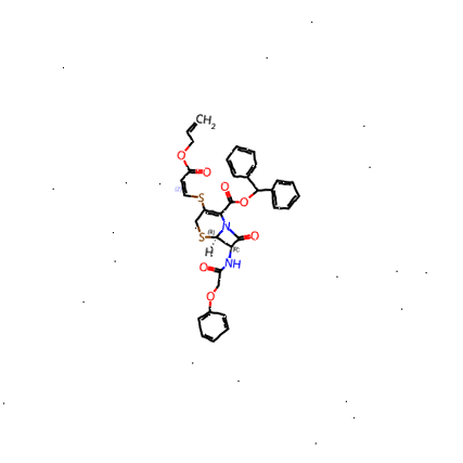 C=CCOC(=O)/C=C\SC1=C(C(=O)OC(c2ccccc2)c2ccccc2)N2C(=O)[C@@H](NC(=O)COc3ccccc3)[C@H]2SC1